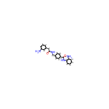 Nc1cccc(CC(=O)NCc2ccc(C(=O)Nc3ccccc3N)cc2)c1